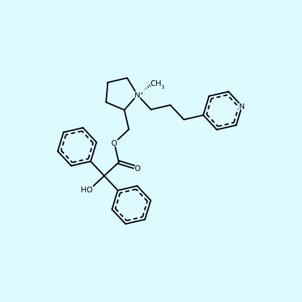 C[N@@+]1(CCCc2ccncc2)CCCC1COC(=O)C(O)(c1ccccc1)c1ccccc1